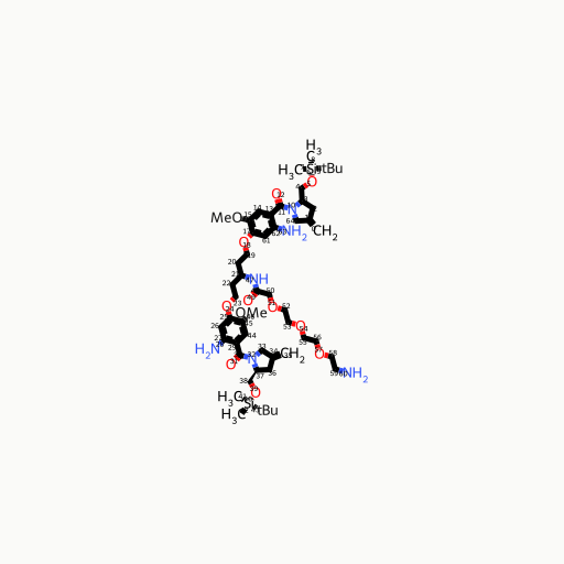 C=C1CC(CO[Si](C)(C)C(C)(C)C)N(C(=O)c2cc(OC)c(OCCC(CCOc3cc(N)c(C(=O)N4CC(=C)C[C@H]4CO[Si](C)(C)C(C)(C)C)cc3OC)NC(=O)COCCOCCOCCN)cc2N)C1